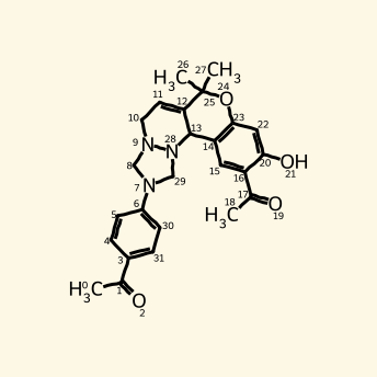 CC(=O)c1ccc(N2CN3CC=C4C(c5cc(C(C)=O)c(O)cc5OC4(C)C)N3C2)cc1